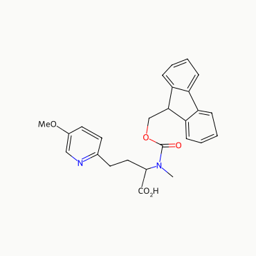 COc1ccc(CCC(C(=O)O)N(C)C(=O)OCC2c3ccccc3-c3ccccc32)nc1